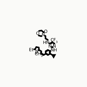 CCC1CCC(C/C=C\c2ccc(Nc3ncc(C(F)(F)F)c(NCCCN4CCOCCC4=O)n3)c(C3CC3)c2)N1C